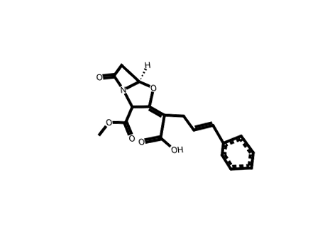 COC(=O)C1/C(=C(/C/C=C/c2ccccc2)C(=O)O)O[C@@H]2CC(=O)N12